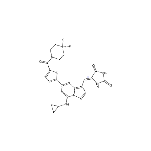 O=C1NC(=O)/C(=C/c2cnn3c(NC4CC4)cc(-c4ccc(C(=O)N5CCC(F)(F)CC5)s4)nc23)N1